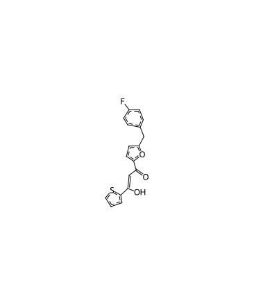 O=C(C=C(O)c1cccs1)c1ccc(Cc2ccc(F)cc2)o1